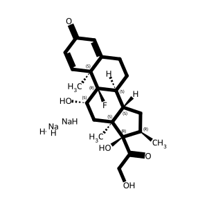 C[C@@H]1C[C@H]2[C@@H]3CCC4=CC(=O)C=C[C@]4(C)[C@@]3(F)[C@@H](O)C[C@]2(C)[C@@]1(O)C(=O)CO.[H].[NaH].[NaH]